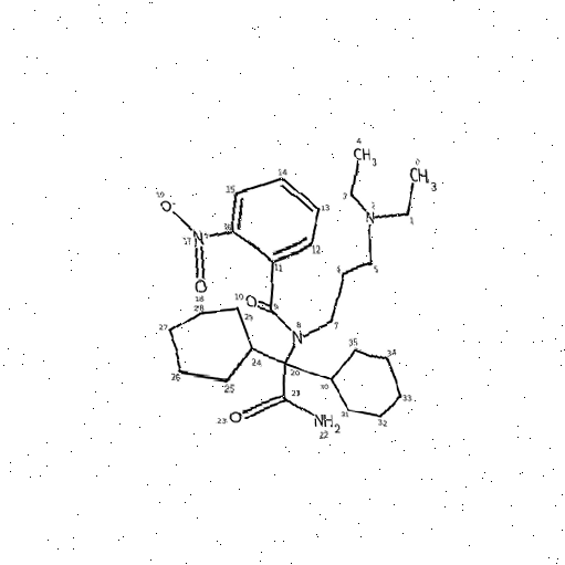 CCN(CC)CCCN(C(=O)c1ccccc1[N+](=O)[O-])C(C(N)=O)(C1CCCCC1)C1CCCCC1